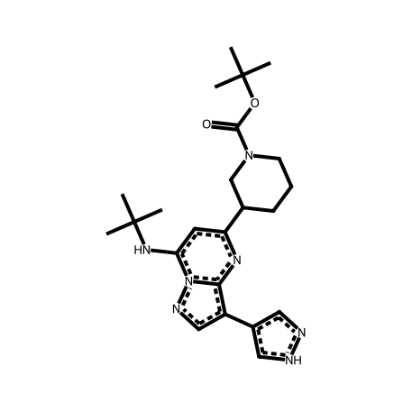 CC(C)(C)Nc1cc(C2CCCN(C(=O)OC(C)(C)C)C2)nc2c(-c3cn[nH]c3)cnn12